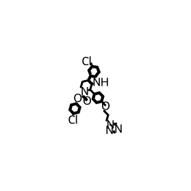 O=C(Oc1ccc(Cl)cc1)N1CCc2c([nH]c3ccc(Cl)cc23)C1c1ccc(OCCCn2cncn2)cc1